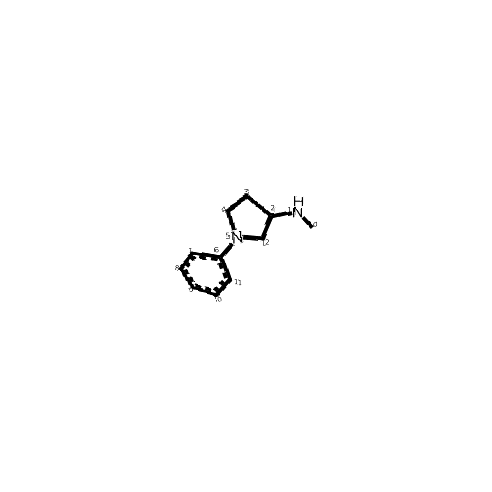 CNC1CCN(c2ccccc2)C1